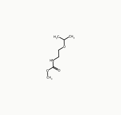 COC(=O)NCCOC(C)C